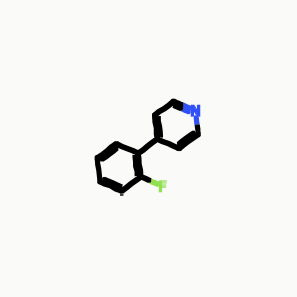 Fc1[c]cccc1-c1ccncc1